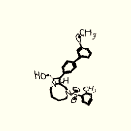 COc1cccc(-c2ccc(C3[C@@H](CO)N4CCCCN(S(=O)(=O)c5ccccc5C)C[C@@H]34)cc2)c1